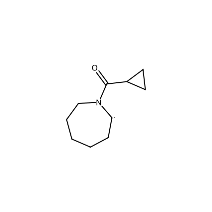 O=C(C1CC1)N1[CH]CCCCC1